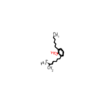 CCCCCCc1cccc(CCCCCC(C)C)c1O